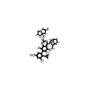 Oc1cc(Cl)c(C2CC2)c(-c2c(Cl)c3c4c(nc(OC[C@@]56CCCN5C[C@H](F)C6)nc4c2F)N2CC4CCC(N4)C2CO3)c1